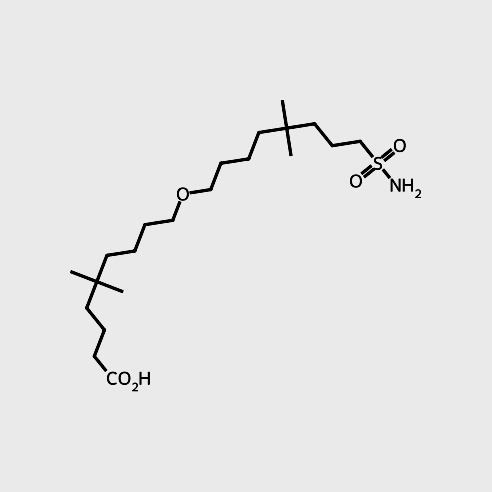 CC(C)(CCCCOCCCCC(C)(C)CCCS(N)(=O)=O)CCCC(=O)O